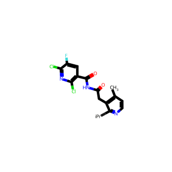 Cc1ccnc(C(C)C)c1CC(=O)NC(=O)c1cc(F)c(Cl)nc1Cl